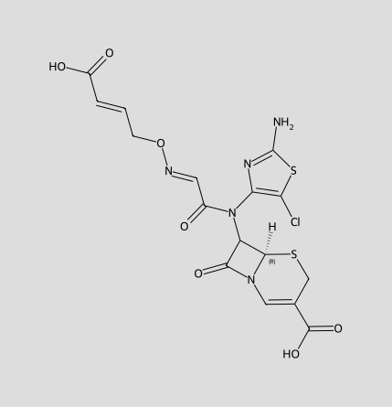 Nc1nc(N(C(=O)C=NOCC=CC(=O)O)C2C(=O)N3C=C(C(=O)O)CS[C@H]23)c(Cl)s1